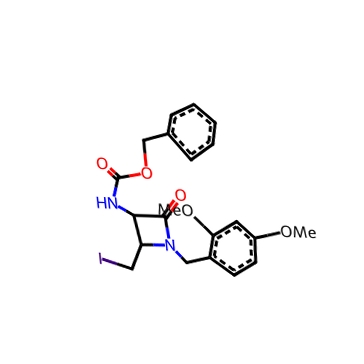 COc1ccc(CN2C(=O)C(NC(=O)OCc3ccccc3)C2CI)c(OC)c1